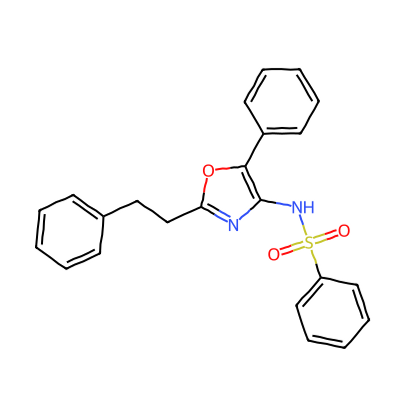 O=S(=O)(Nc1nc(CCc2ccccc2)oc1-c1ccccc1)c1ccccc1